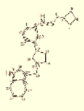 c1cc(NSCC2CCC2)cc(C2CCN(Cc3c[nH]c4ccccc34)C2)c1